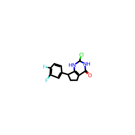 O=C1NC(Cl)NC2=C1CCC2c1ccc(F)c(F)c1